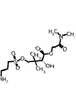 CN(C)C(=O)COC(=O)[C@H](O)C(C)(C)COS(=O)(=O)CCCN